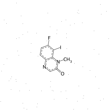 Cn1c(=O)cnc2ccc(F)c(I)c21